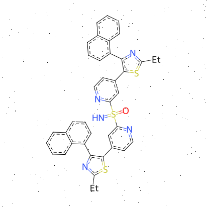 CCc1nc(-c2cccc3ccccc23)c(-c2ccnc(S(=N)(=O)c3cc(-c4sc(CC)nc4-c4cccc5ccccc45)ccn3)c2)s1